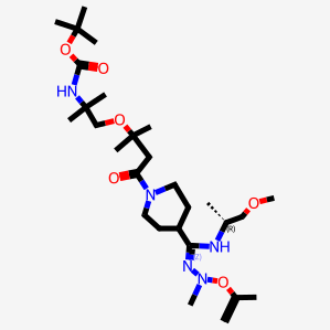 C=C(C)ON(C)/N=C(\N[C@H](C)COC)C1CCN(C(=O)CC(C)(C)OCC(C)(C)NC(=O)OC(C)(C)C)CC1